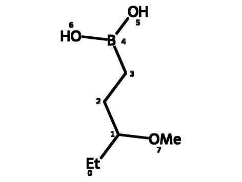 CCC(CCB(O)O)OC